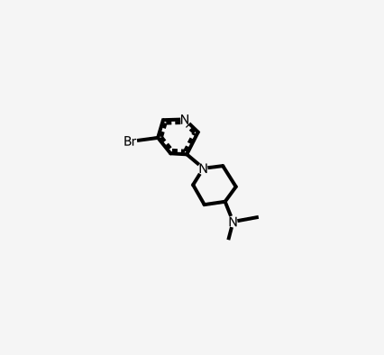 CN(C)C1CCN(c2cncc(Br)c2)CC1